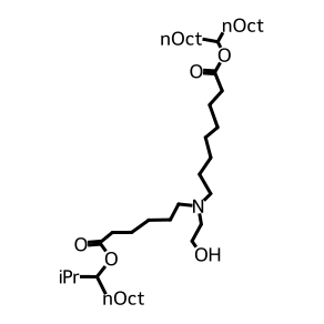 CCCCCCCCC(CCCCCCCC)OC(=O)CCCCCCCN(CCO)CCCCCC(=O)OC(CCCCCCCC)C(C)C